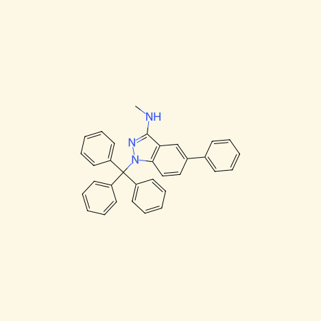 CNc1nn(C(c2ccccc2)(c2ccccc2)c2ccccc2)c2ccc(-c3ccccc3)cc12